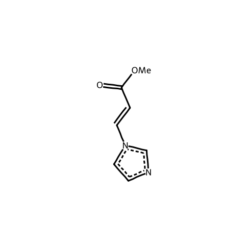 COC(=O)C=Cn1ccnc1